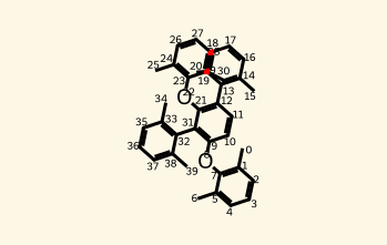 Cc1cccc(C)c1Oc1ccc(-c2c(C)cccc2C)c(Oc2c(C)cccc2C)c1-c1c(C)cccc1C